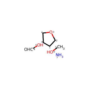 C1CCOC1.CO.N.O=CO